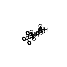 O=C1CN(c2ccc(CC(NS(=O)(=O)c3ccccc3)C(=O)NCCC(c3ccccc3)c3ccccc3)cc2)S(=O)(=O)N1